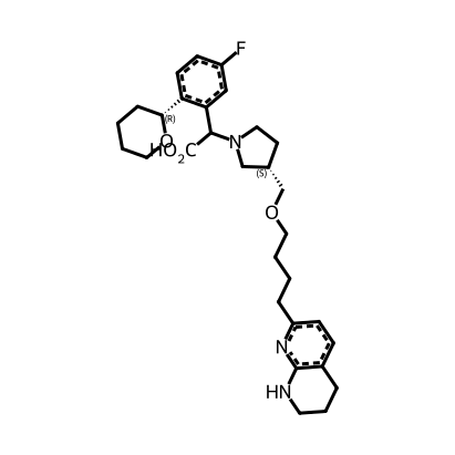 O=C(O)C(c1cc(F)ccc1[C@H]1CCCCO1)N1CC[C@H](COCCCCc2ccc3c(n2)NCCC3)C1